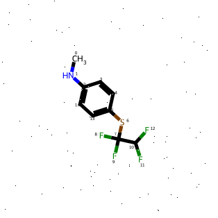 CNc1ccc(SC(F)(F)C(F)F)cc1